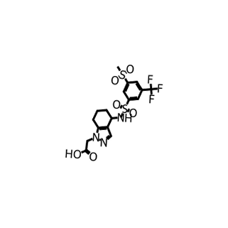 CS(=O)(=O)c1cc(C(F)(F)F)cc(S(=O)(=O)NC2CCCc3c2cnn3CC(=O)O)c1